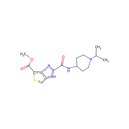 COC(=O)c1scc2[nH]c(C(=O)NC3CCN(C(C)C)CC3)nc12